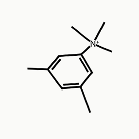 Cc1[c]c(C)cc([N+](C)(C)C)c1